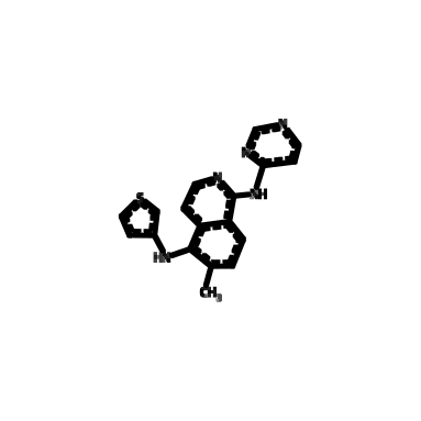 Cc1ccc2c(Nc3ccncn3)nccc2c1Nc1ccsc1